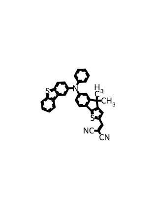 CC1(C)c2cc(N(c3ccccc3)c3ccc4sc5ccccc5c4c3)ccc2-c2sc(C=C(C#N)C#N)cc21